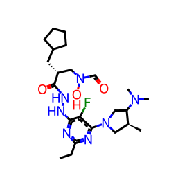 CCc1nc(NNC(=O)[C@H](CC2CCCC2)CN(O)C=O)c(F)c(N2CC(N(C)C)[C@@H](C)C2)n1